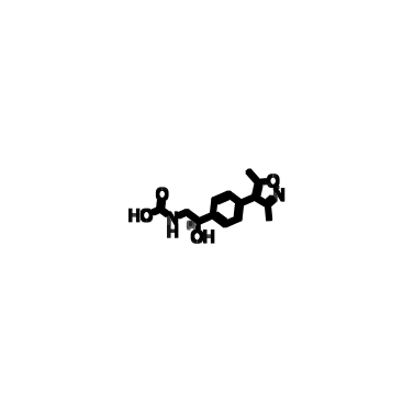 Cc1noc(C)c1-c1ccc([C@@H](O)CNC(=O)O)cc1